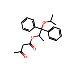 CC(=O)CC(=O)OC(C)C(OC(C)C)(c1ccccc1)c1ccccc1